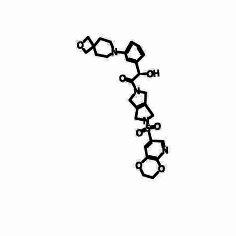 O=C([C@H](O)c1cccc(N2CCC3(CC2)COC3)c1)N1CC2=C(C1)CN(S(=O)(=O)c1cnc3c(c1)OCCO3)C2